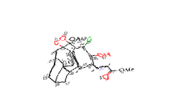 COC(=O)/C=C/c1ccc(C2(OC)OOC23C2CC4CC5CC3CC45C2)c(Cl)c1O